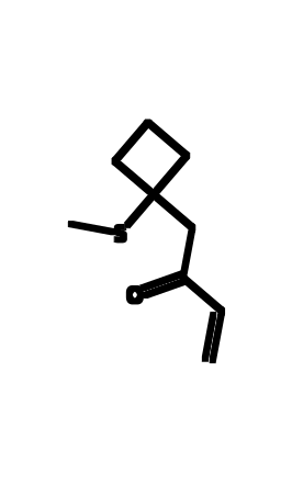 C=CC(=O)CC1(SC)CCC1